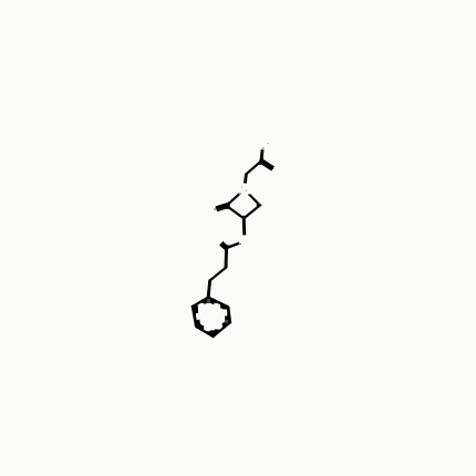 O=C(O)CN1CC(NC(=O)CCc2ccccc2)C1=O